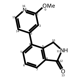 COc1cc(-c2cccc3c2CNC3=O)ccn1